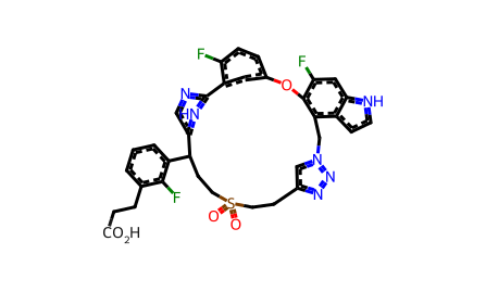 O=C(O)CCc1cccc(C2CCS(=O)(=O)CCc3cn(nn3)Cc3c(c(F)cc4[nH]ccc34)Oc3ccc(F)c(c3)-c3ncc2[nH]3)c1F